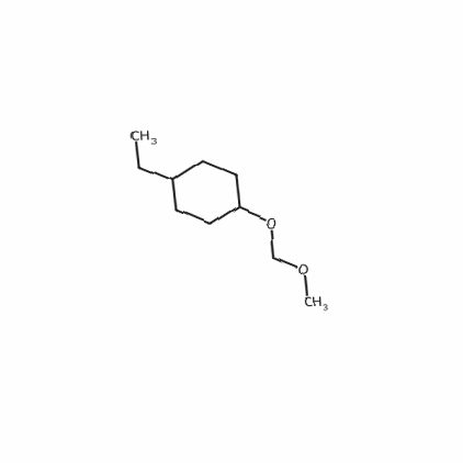 CCC1CCC(OCOC)CC1